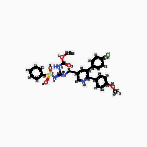 CC(C)(C)OC(=O)N/C(=N\S(=O)(=O)c1ccccc1)NCc1cnc(-c2ccc(OC(F)(F)F)cc2)c(-c2ccc(Cl)cc2)c1